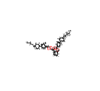 CCCCCC1CCC(c2ccc(COOCC(OC(=O)c3ccc(C4CCC(CCCCC)CC4)cc3)c3ccccc3)cc2)CC1